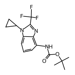 CC(C)(C)OC(=O)Nc1cccc2c1nc(C(F)(F)F)n2C1CC1